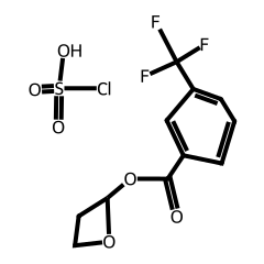 O=C(OC1CCO1)c1cccc(C(F)(F)F)c1.O=S(=O)(O)Cl